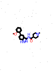 COc1ccccc1-c1ccc2[nH]nc(NC(=O)C3CCN(C)CC3)c2c1